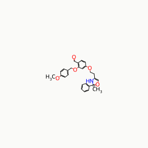 COc1ccc(COc2cc(OCCC3=CO[C@@](C)(c4ccccc4)N3)ccc2C=O)cc1